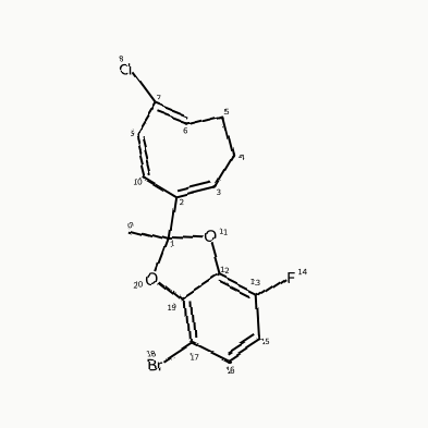 CC1(C2=C/CC/C=C(Cl)/C=C\2)Oc2c(F)ccc(Br)c2O1